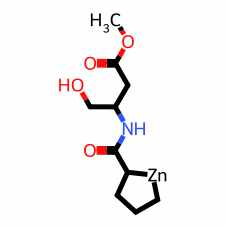 COC(=O)CC(CO)NC(=O)[CH]1CC[CH2][Zn]1